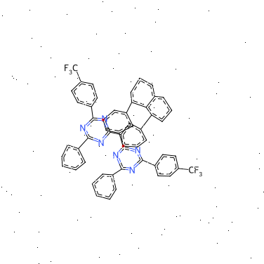 FC(F)(F)c1ccc(-c2nc(-c3ccccc3)nc(-c3cccc(-c4cccc5cccc(-c6cccc(-c7nc(-c8ccccc8)nc(-c8ccc(C(F)(F)F)cc8)n7)c6)c45)c3)n2)cc1